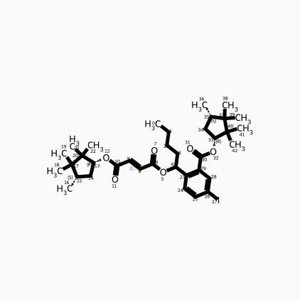 CCCCC(OC(=O)/C=C/C(=O)O[C@@H]1C[C@H](C)C(C)(C)C1(C)C)c1ccc(I)cc1C(=O)O[C@@H]1C[C@H](C)C(C)(C)C1(C)C